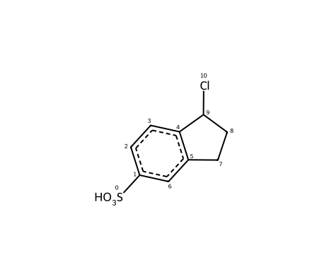 O=S(=O)(O)c1ccc2c(c1)CCC2Cl